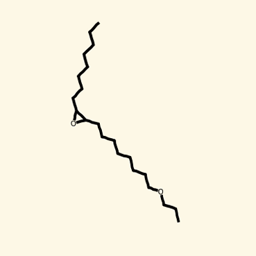 CCCCCCCCC1OC1CCCCCCCCOCCC